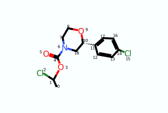 CC(Cl)OC(=O)N1CCO[C@H](c2ccc(Cl)cc2)C1